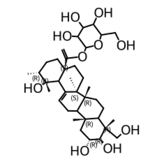 C=C(OC1OC(CO)C(O)C(O)C1O)[C@]12CC[C@@H](C)[C@@](C)(O)C1C1=CCC3[C@@]4(C)C[C@@H](O)[C@H](O)[C@@](C)(CO)C4CC[C@@]3(C)[C@]1(C)CC2